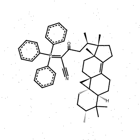 C[C@@H]1CC[C@]23C[C@]24CC[C@@]2(C)C(=C4CC[C@H]3C1(C)C)CC[C@@]2(C)[C@H](C)CC(=O)C(C#N)=P(c1ccccc1)(c1ccccc1)c1ccccc1